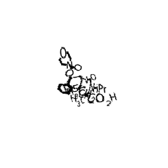 C=C(S)N(C[C@H](OC(=O)N1CCOCC1)c1ccccc1)C(=O)N(C(C)C)C(C)(C)C(=O)O